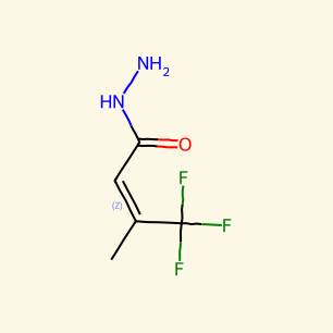 C/C(=C/C(=O)NN)C(F)(F)F